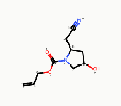 C=CCOC(=O)N1CC(O)CC1CC#N